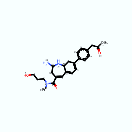 CCCN(CCCO)C(=O)C1=CC2=CC=C(c3ccc(CC(=O)OCC(C)C)cc3)CC2NC(N)C1